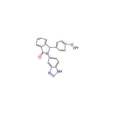 CCCOc1ccc(C2c3ccccc3C(=O)N2c2ccc3[nH]cnc3c2)cc1